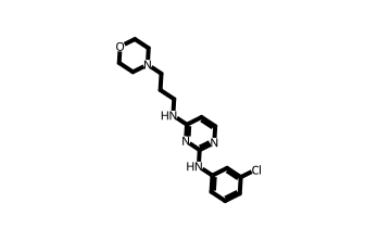 Clc1cccc(Nc2nccc(NCCCN3CCOCC3)n2)c1